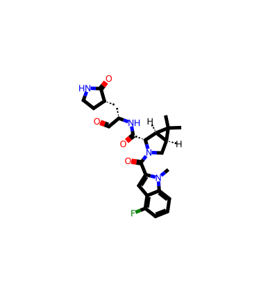 Cn1c(C(=O)N2C[C@H]3[C@@H]([C@H]2C(=O)N[C@H](C=O)C[C@@H]2CCNC2=O)C3(C)C)cc2c(F)cccc21